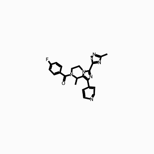 Cc1nsc(-c2nc(-c3ccncc3)c3n2CCN(C(=O)c2ccc(F)cc2)C3C)n1